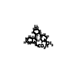 CN1CCN(c2ccccc2-c2cn(CC(=O)O)c3ncncc23)CC1.[Li]